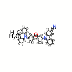 CC1(C)c2ccccc2N(c2ccc3c(c2)oc2cc(-n4c5ccccc5c5cc(C#N)ccc54)ccc23)c2ccccc21